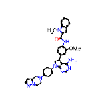 COc1cc(-c2cn(C3CCC(N4CCn5nccc5C4)CC3)c3ncnc(N)c23)ccc1NC(=O)c1cc2ccccc2n1C